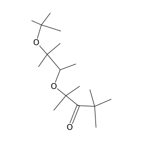 CC(OC(C)(C)C(=O)C(C)(C)C)C(C)(C)OC(C)(C)C